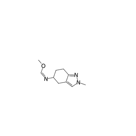 CO/C=N\C1CCc2nn(C)cc2C1